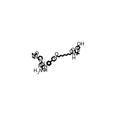 C[C@@H]1C[C@@H](O)CN1C(=O)[C@@H](NC(=O)CCCCCCCC(=O)N1CCC(c2ccc(Nc3nc(N4CCC[C@@H](N5CCN(C)C5=O)C4)cnc3C(N)=O)cc2)CC1)C(C)(C)C